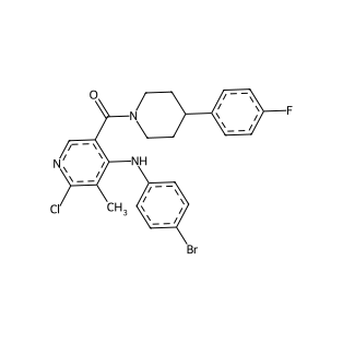 Cc1c(Cl)ncc(C(=O)N2CCC(c3ccc(F)cc3)CC2)c1Nc1ccc(Br)cc1